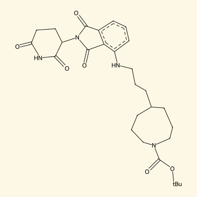 CC(C)(C)OC(=O)N1CCCC(CCCNc2cccc3c2C(=O)N(C2CCC(=O)NC2=O)C3=O)CCC1